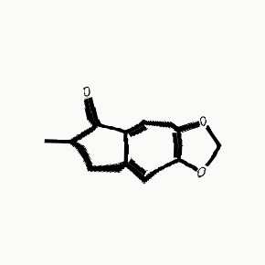 CC1Cc2cc3c(cc2C1=O)OCO3